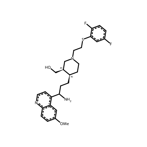 COc1ccc2nccc(C(N)CC[C@@H]3CCN(CCSc4cc(F)ccc4F)C[C@@H]3CO)c2c1